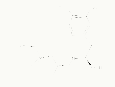 CCCC(C)OC(=O)OC(C)CN[C@@H](Cc1ccc(OC(C)=O)c(OC(C)=O)c1)C(=O)O